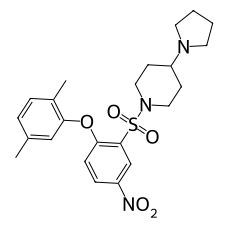 Cc1ccc(C)c(Oc2ccc([N+](=O)[O-])cc2S(=O)(=O)N2CCC(N3CCCC3)CC2)c1